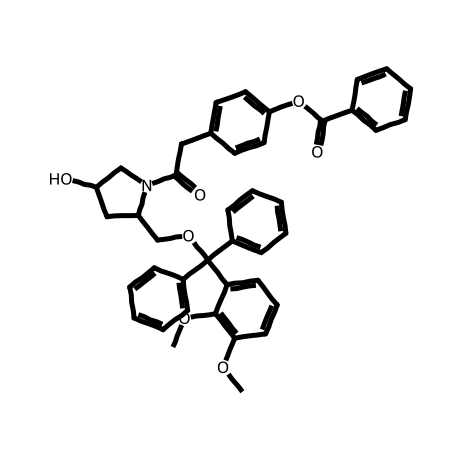 COc1cccc(C(OCC2CC(O)CN2C(=O)Cc2ccc(OC(=O)c3ccccc3)cc2)(c2ccccc2)c2ccccc2)c1OC